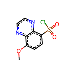 COc1ccc(S(=O)(=O)Cl)c2nccnc12